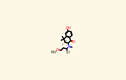 CCC(CCOC(C)(C)C)N(C)C1C(=O)c2ccc(O)cc2C(C)(C)[C@H]1C